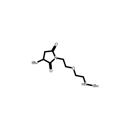 CC(C)(C)NCCOCCN1C(=O)CC(C(C)(C)C)C1=O